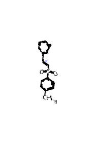 Cc1ccc(S(=O)(=O)/C=C/c2ccccc2)cc1